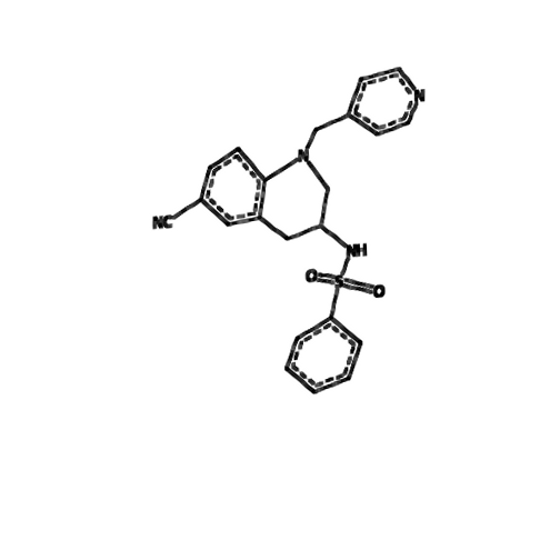 N#Cc1ccc2c(c1)CC(NS(=O)(=O)c1ccccc1)CN2Cc1ccncc1